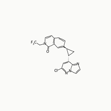 O=c1c2cc([C@H]3C[C@@H]3c3cc(Cl)nn4ccnc34)ccc2ccn1CC(F)(F)F